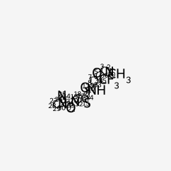 CN1CCC(Oc2ccc(NC(=O)c3csc4c3CCN(C(=O)c3cnc5ccccn35)C4)cc2C(F)(F)F)C1